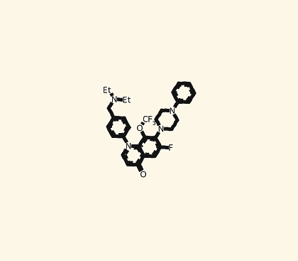 CCN(CC)Cc1ccc(-n2ccc(=O)c3cc(F)c(N4CCN(c5ccccc5)CC4)c(OC(F)(F)F)c32)cc1